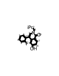 CC(C)Cn1[c]c(-c2ccccc2F)c2cc(O)ccc2c1=O